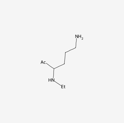 CCNC(CCCN)C(C)=O